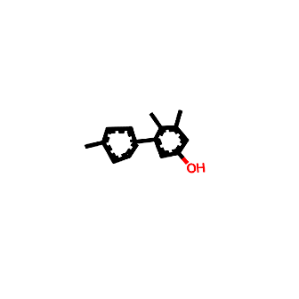 Cc1ccc(-c2cc(O)cc(C)c2C)cc1